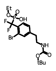 CCOP(=O)(O)C(F)(F)c1ccc(CCNC(=O)OC(C)(C)C)cc1Br